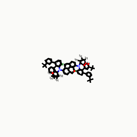 [2H]c1c([2H])c([2H])c(N(c2c(F)ccc(-c3cccc(C(C)(C)C)c3)c2-c2cccc(C(C)(C)C)c2)c2ccc3ccc4c(N(c5c([2H])c([2H])c([2H])c([2H])c5[2H])c5c(F)ccc(-c6cccc(C(C)(C)C)c6)c5-c5cccc(C(C)(C)C)c5)ccc5ccc2c3c54)c([2H])c1[2H]